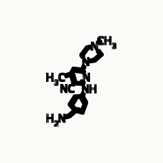 Cc1cc(N2CCN(C)CC2)nc(Nc2ccc(CN)cc2)c1C#N